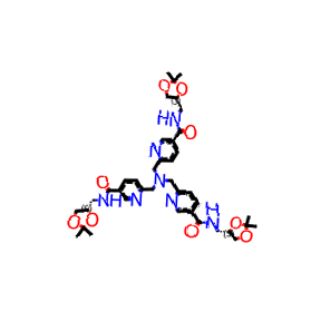 CC1(C)OC[C@H](CNC(=O)c2ccc(CN(Cc3ccc(C(=O)NC[C@H]4COC(C)(C)O4)cn3)Cc3ccc(C(=O)NC[C@H]4COC(C)(C)O4)cn3)nc2)O1